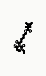 CCn1ccc(=S)n(C(=O)CCCCCOC(=O)C2(C)CC(C)C2C)c1=O